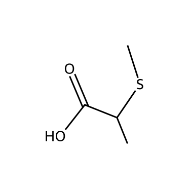 CSC(C)C(=O)O